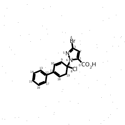 O=C(O)c1cc(Br)nn1C1(Cl)C=CC(c2ccccc2)=CC1